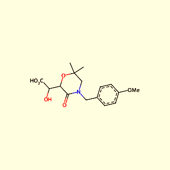 COc1ccc(CN2CC(C)(C)OC(C(O)C(=O)O)C2=O)cc1